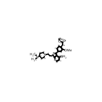 COc1cc(-c2nn(CCN3CCC(N(C)C)CC3)c3nccc(N)c23)ccc1CC(=O)OC(C)(C)C